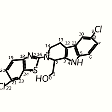 OCC1c2[nH]c3ccc(Cl)cc3c2CCN1c1nc2ccc(Cl)cc2s1